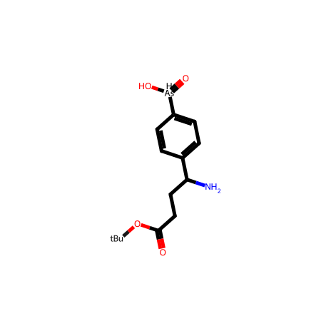 CC(C)(C)OC(=O)CCC(N)c1ccc([AsH](=O)O)cc1